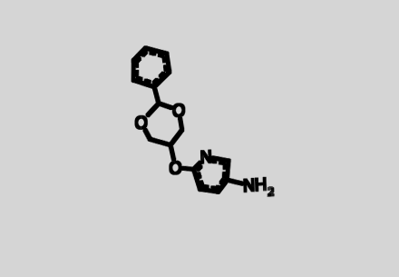 Nc1ccc(OC2COC(c3ccccc3)OC2)nc1